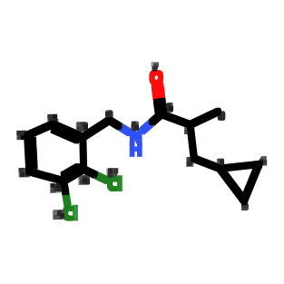 CC(CC1CC1)C(=O)NCc1cccc(Cl)c1Cl